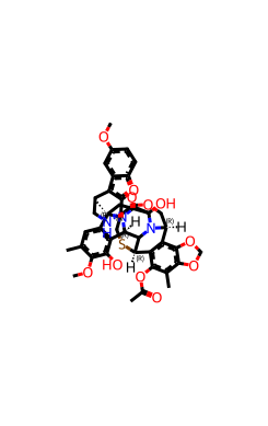 COc1ccc2oc3c(c2c1)CCN[C@]31CS[C@@H]2c3c(OC(C)=O)c(C)c4c(c3[C@H](COC1=O)N1C2[C@H]2c3c(cc(C)c(OC)c3O)[C@@]3(C)CC1(O)CN23)OCO4